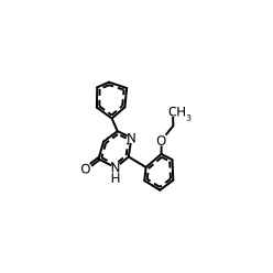 CCOc1ccccc1-c1nc(-c2ccccc2)cc(=O)[nH]1